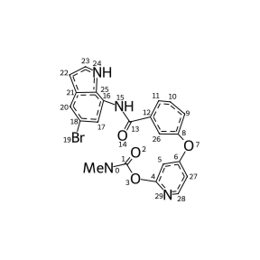 CNC(=O)Oc1cc(Oc2cccc(C(=O)Nc3cc(Br)cc4cc[nH]c34)c2)ccn1